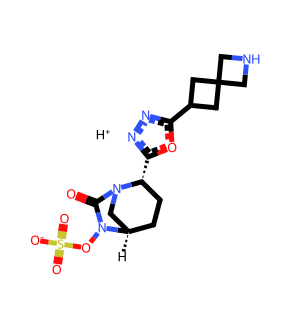 O=C1N2C[C@@H](CC[C@H]2c2nnc(C3CC4(CNC4)C3)o2)N1OS(=O)(=O)[O-].[H+]